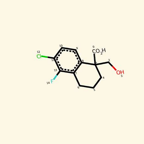 O=C(O)C1(CO)CCCc2c1ccc(Cl)c2F